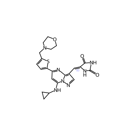 O=C1NC(=O)/C(=C/c2cnn3c(NC4CC4)cc(-c4ccc(CN5CCOCC5)s4)nc23)N1